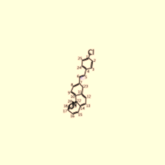 Clc1ccc(/C=C/C2=CC=C3C(=CC=C4C=CC=C5OC=NC453)[CH]2)cc1